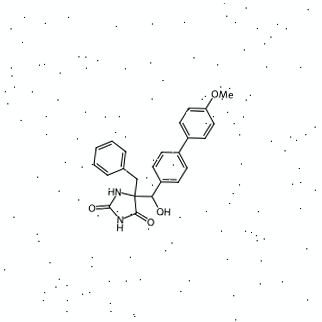 COc1ccc(-c2ccc(C(O)C3(Cc4ccccc4)NC(=O)NC3=O)cc2)cc1